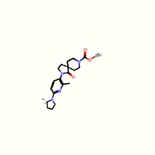 Cc1nc(N2CCC[C@@H]2C)ccc1N1CCC2(CCN(C(=O)OC(C)(C)C)CC2)C1=O